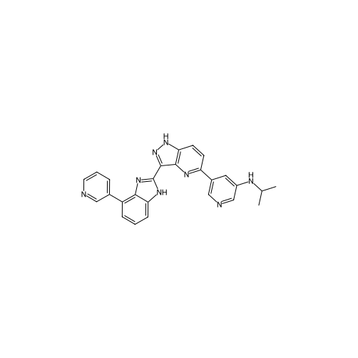 CC(C)Nc1cncc(-c2ccc3[nH]nc(-c4nc5c(-c6cccnc6)cccc5[nH]4)c3n2)c1